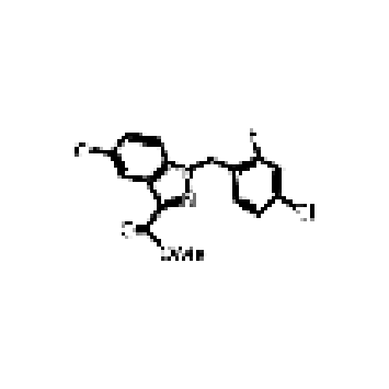 COC(=O)c1nn(Cc2ccc(Cl)cc2F)c2ccc(Cl)cc12